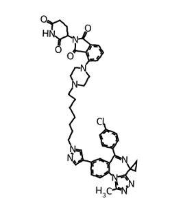 Cc1nnc2n1-c1ccc(-c3cnn(CCCCCCCN4CCN(c5cccc6c5C(=O)N(C5CCC(=O)NC5=O)C6=O)CC4)c3)cc1C(c1ccc(Cl)cc1)=NC21CC1